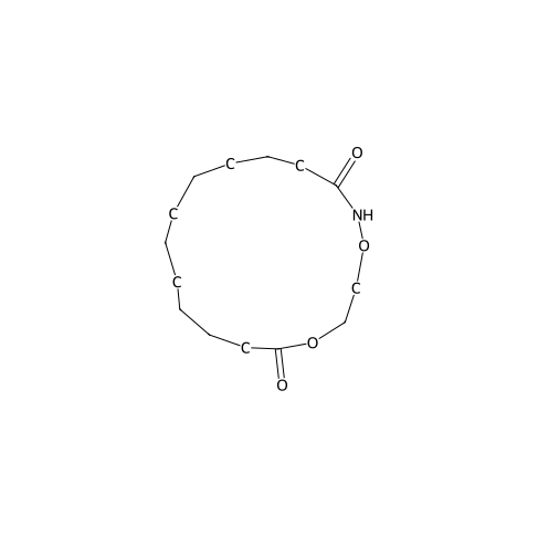 O=C1CCCCCCCCCCC(=O)OCCON1